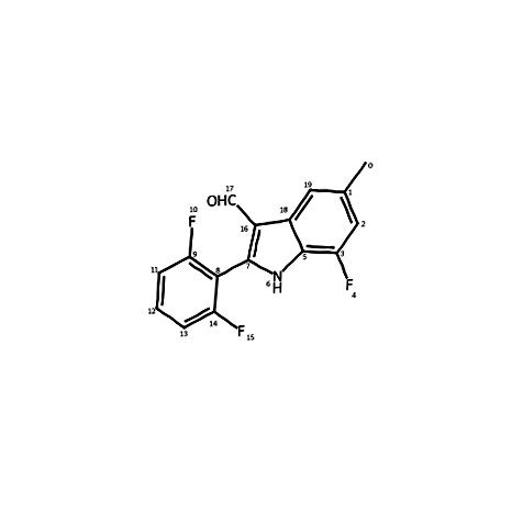 Cc1cc(F)c2[nH]c(-c3c(F)cccc3F)c(C=O)c2c1